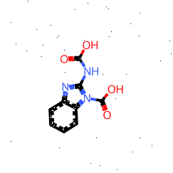 O=C(O)Nc1nc2ccccc2n1C(=O)O